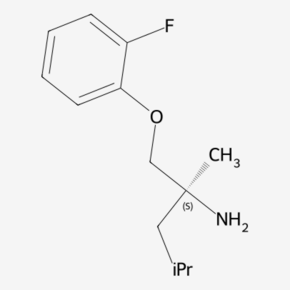 CC(C)C[C@](C)(N)COc1ccccc1F